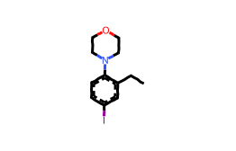 CCc1cc(I)ccc1N1CCOCC1